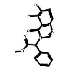 COC(=O)C(c1ccccc1)n1cnc2ccc(Br)c(F)c2c1=O